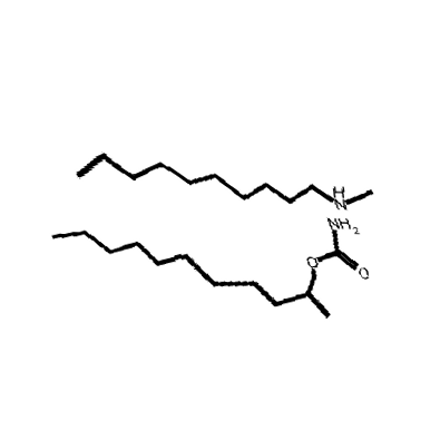 CCCCCCCCCC(C)OC(N)=O.CCCCCCCCCCNC